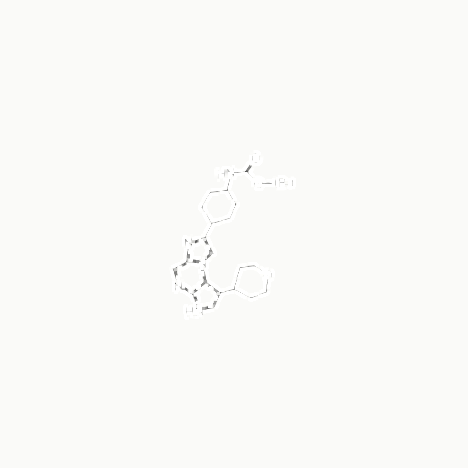 CC(C)(C)OC(=O)NC1CCC(c2cn3c(cnc4[nH]cc(C5CCOCC5)c43)n2)CC1